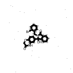 O=C1COc2ccc(C3(O)c4ccccc4C(=O)N3Cc3ccccc3Br)cc2N1